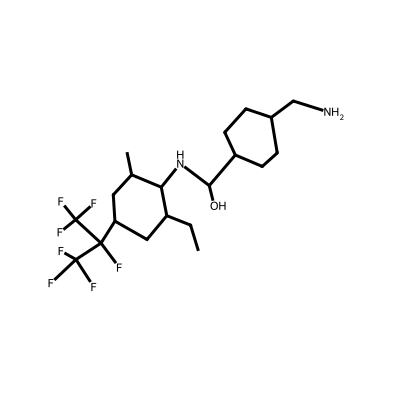 CCC1CC(C(F)(C(F)(F)F)C(F)(F)F)CC(C)C1NC(O)C1CCC(CN)CC1